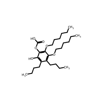 CCCCCCOc1c(CCCC)c(CCCC)c(O)c(OC(=O)O)c1OCCCCCC